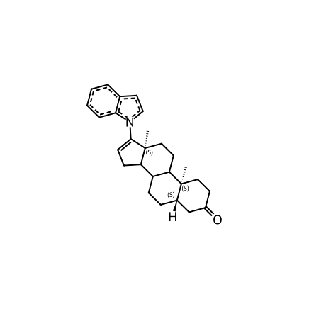 C[C@]12CCC3C(CC[C@H]4CC(=O)CC[C@]34C)C1CC=C2n1ccc2ccccc21